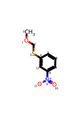 COCSc1cccc([N+](=O)[O-])c1